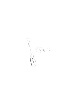 N#[C][Fe].[KH].[Ni]